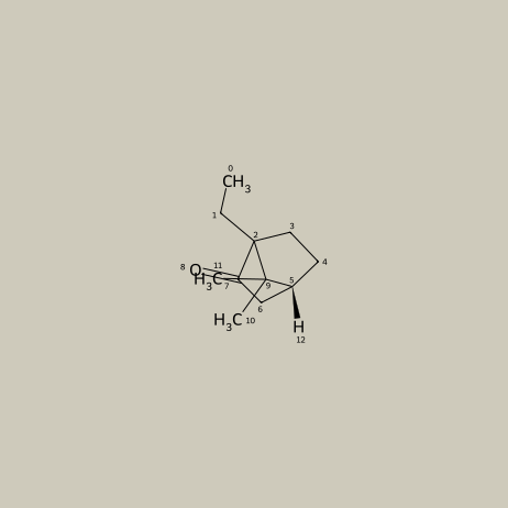 CCC12CC[C@H](CC1=O)C2(C)C